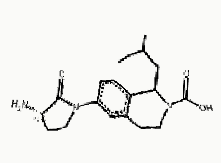 CC(C)CC1c2ccc(N3CC[C@H](N)C3=O)cc2CCN1C(=O)O